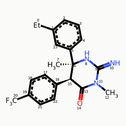 CCc1cccc([C@@]2(C)NC(=N)N(C)C(=O)[C@H]2c2ccc(C(F)(F)F)cc2)c1